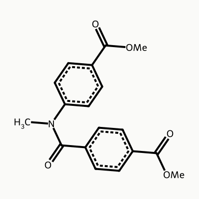 COC(=O)c1ccc(C(=O)N(C)c2ccc(C(=O)OC)cc2)cc1